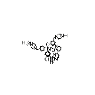 Cc1ccc(N(C(=O)c2ccc(CN3CCNCC3)cc2)C(=O)c2ccc(CN3CCN(C)CC3)cc2)cc1Nc1nccc(-c2cccnc2)n1